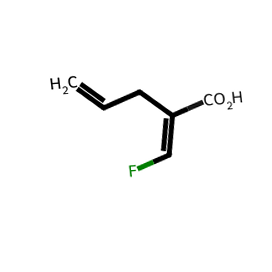 C=CCC(=CF)C(=O)O